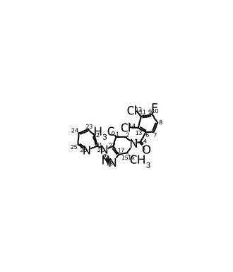 CC1CN(C(=O)c2ccc(F)c(Cl)c2Cl)[C@H](C)c2nnn(-c3ccccn3)c21